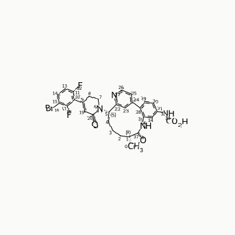 C[C@@H]1CCC[C@H](N2CCC(c3c(F)ccc(Br)c3F)=CC2=O)c2cc(ccn2)-c2ccc(NC(=O)O)cc2NC1=O